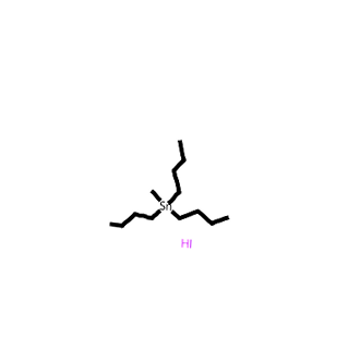 CCC[CH2][Sn]([CH3])([CH2]CCC)[CH2]CCC.I